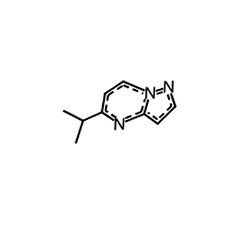 CC(C)c1ccn2nccc2n1